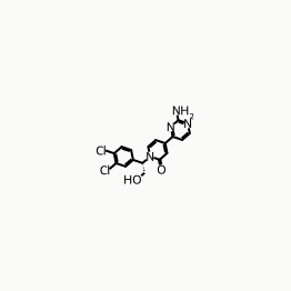 Nc1nccc(-c2ccn([C@H](CO)c3ccc(Cl)c(Cl)c3)c(=O)c2)n1